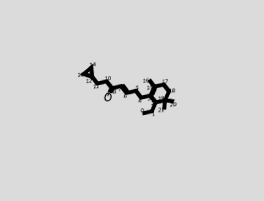 CCC1C(CCC=CC(=O)CCC2CC2)=C(C)CCC1(C)C